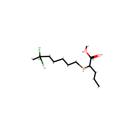 CCCC(SCCCCCC(C)(F)F)C(=O)OC